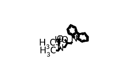 CCN(CC(O)Cn1c2ccccc2c2ccccc21)[S+](C)[O-]